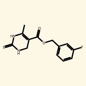 CC1=C(C(=O)OCc2cccc(F)c2)CNC(=S)N1